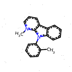 Cc1ccccc1-n1c2ccccc2c2ccc[n+](C)c21